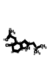 CN(C)Cc1cc2c(CC(N)=O)c(Cl)ccc2[nH]1